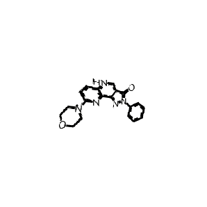 O=c1c2c[nH]c3ccc(N4CCOCC4)nc3c-2nn1-c1ccccc1